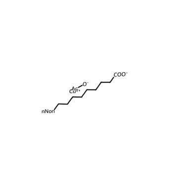 CC(=O)[O-].CCCCCCCCCCCCCCCCCC(=O)[O-].[Cu+2]